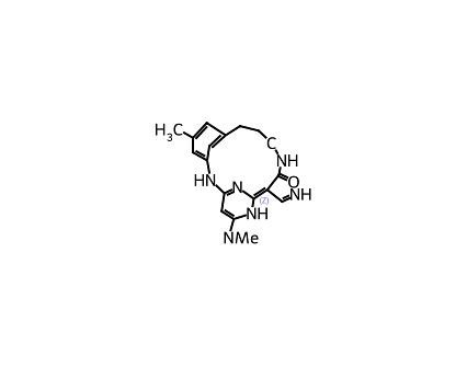 CNC1=CC2=N/C(=C(/C=N)C(=O)NCCCc3cc(C)cc(c3)N2)N1